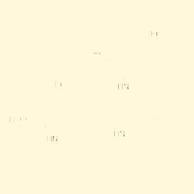 CCc1c(C(=O)O)[nH]c(Cc2ccc(Cc3[nH]c(C(=O)O)c(CC)c3C)[nH]2)c1C